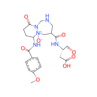 COc1ccc(C(=O)NC2CCC(=O)N3CNCC(C(=O)N[C@H](C=O)CC(=O)O)C[N+]23[O-])cc1